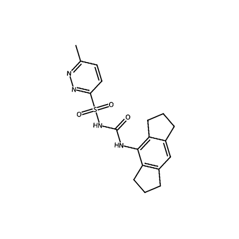 Cc1ccc(S(=O)(=O)NC(=O)Nc2c3c(cc4c2CCC4)CCC3)nn1